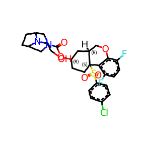 O=C(O[C@@H]1CC[C@@]2(S(=O)(=O)c3ccc(Cl)cc3)c3c(F)ccc(F)c3OC[C@H]2C1)N1CC2CCC(C1)N2CCO